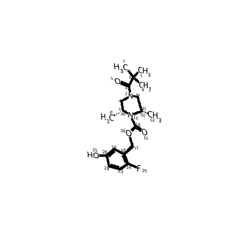 C[C@@H]1CN(C(=O)C(C)(C)C)C[C@H](C)N1C(=O)OCc1cc(O)ccc1F